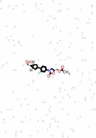 CC(=O)OC[C@H]1CN(c2ccc(C3=C[C@H]4[C@H](CO)[C@H]4C3)c(F)c2)C(=O)O1